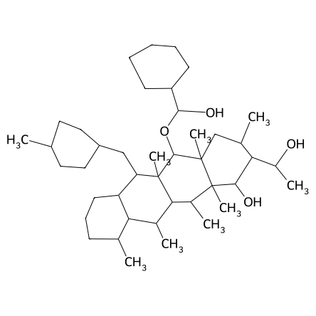 CC1CCC(CC2C3CCCC(C)C3C(C)C3C(C)C4(C)C(O)C(C(C)O)C(C)CC4(C)C(OC(O)C4CCCCC4)C23C)CC1